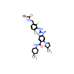 Cn1c(Nc2c(Cl)ccc(CNC(=O)C(C)(C)C)c2F)nc2cc(C(=O)NC3CCC(C(F)(F)F)CC3)c(N3CCC(C(F)(F)F)C3)cc21